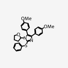 COc1ccc(-c2nc(Sc3ccccc3)n(C3CCCO3)c2-c2ccc(OC)cc2)cc1